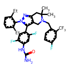 CCc1cccc(CC)c1-n1nc2c(c1-c1cc(F)c(NC(N)=O)cc1F)CN(Cc1ccc(F)cc1C(F)(F)F)C(C)(C)C2